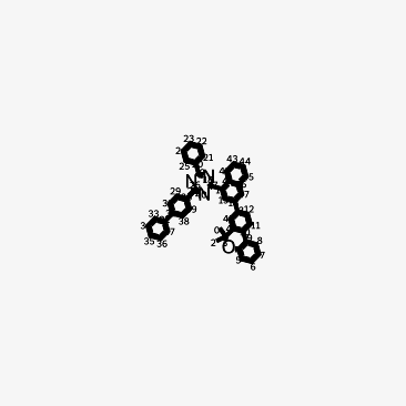 CC1(C)Oc2ccccc2-c2ccc(-c3cc(-c4nc(-c5ccccc5)nc(-c5ccc(-c6ccccc6)cc5)n4)c4ccccc4c3)cc21